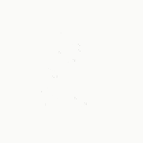 CCc1nc2c(cnn2CC)c(NC2CCOCC2)c1/C=C/C(=O)NCc1ccc(F)c(-c2cccc(CN3CCN[C@@H](C)C3)c2)c1